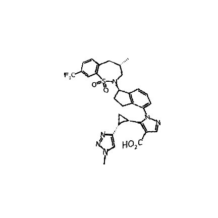 C[C@H]1Cc2ccc(C(F)(F)F)cc2S(=O)(=O)N([C@@H]2CCc3c2cccc3-n2ncc(C(=O)O)c2[C@@H]2C[C@H]2c2cn(C)nn2)C1